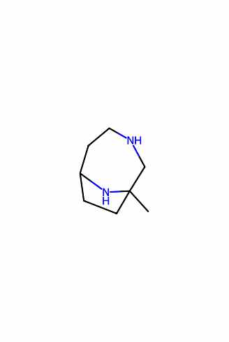 CC12CCC(CCNC1)N2